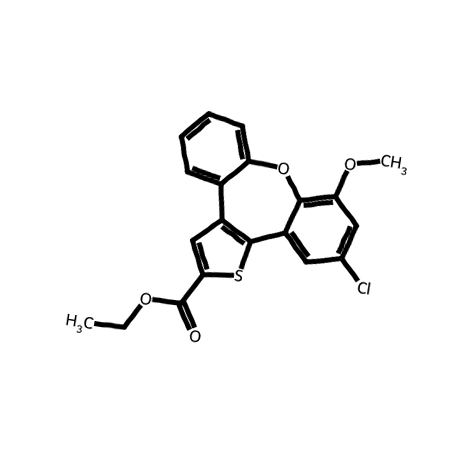 CCOC(=O)c1cc2c(s1)-c1cc(Cl)cc(OC)c1Oc1ccccc1-2